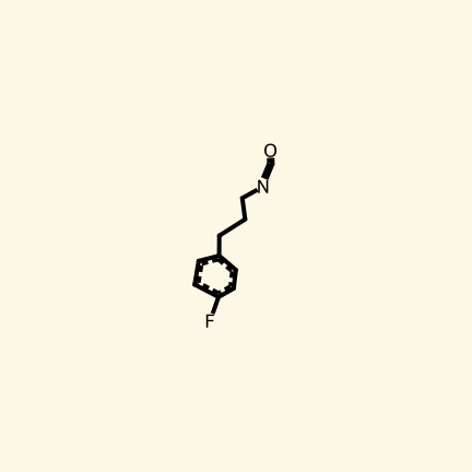 O=C=NCCCc1ccc(F)cc1